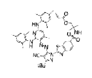 C=CC(=O)OCC(C)(C)NS(=O)(=O)c1ccc2nc(-n3nc(C(C)(C)C)c(C#N)c3N=Nc3c(C)cc(Nc4c(C)cc(C)cc4C)nc3Nc3c(C)cc(C)cc3C)sc2c1